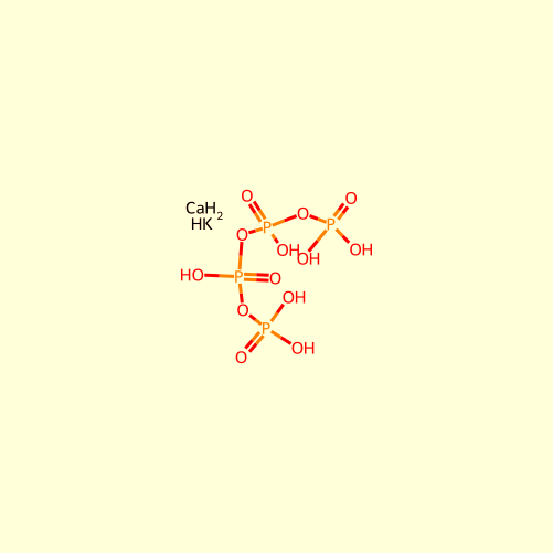 O=P(O)(O)OP(=O)(O)OP(=O)(O)OP(=O)(O)O.[CaH2].[KH]